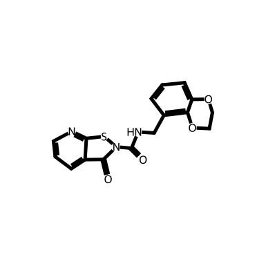 O=C(NCc1cccc2c1OCCO2)n1sc2ncccc2c1=O